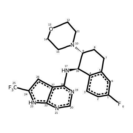 Fc1ccc2c(c1)CC[C@@H](N1CCOCC1)[C@@H]2Nc1ncnc2[nH]c(C(F)(F)F)cc12